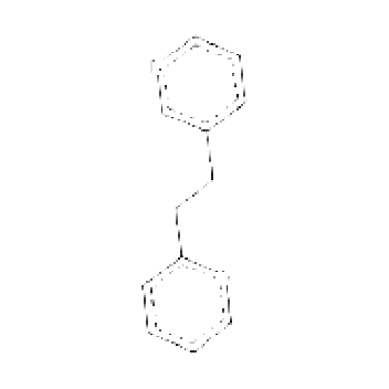 c1ccc(CCc2cccnc2)nc1